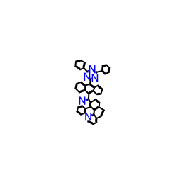 c1ccc(-c2nc(-c3ccccc3)nc(-c3c4ccccc4c(-c4nc5ccccc5c5c4ccc4ccc6cccnc6c45)c4ccccc34)n2)cc1